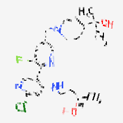 C[C@@H](O)CCNc1cc(Cl)ncc1-c1ncc(CN2CCC(C(C)(C)O)CC2)cc1F